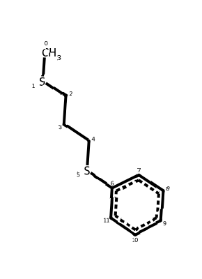 CSCCCSc1ccccc1